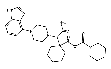 NC(=O)C(N1CCN(c2cccc3[nH]ccc23)CC1)C1(C(=O)OC(=O)C2CCCCC2)CCCCC1